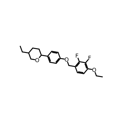 CCOc1ccc(COc2ccc(C3CCC(CC)CO3)cc2)c(F)c1F